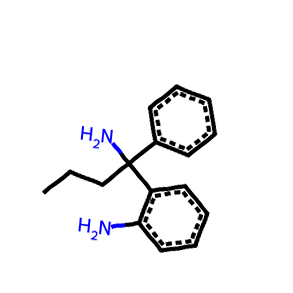 CCCC(N)(c1ccccc1)c1ccccc1N